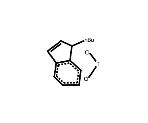 CCCC[C]1C=Cc2ccccc21.[Cl][Ti][Cl]